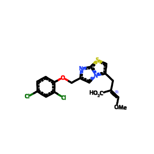 CO/C=C(/Cc1csc2nc(COc3ccc(Cl)cc3Cl)cn12)C(=O)O